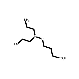 NCCN(CCN)OCCCC(=O)O